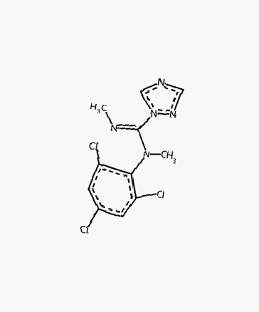 CN=C(N(C)c1c(Cl)cc(Cl)cc1Cl)n1cncn1